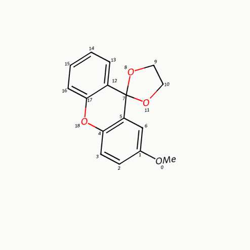 COc1ccc2c(c1)C1(OCCO1)c1ccccc1O2